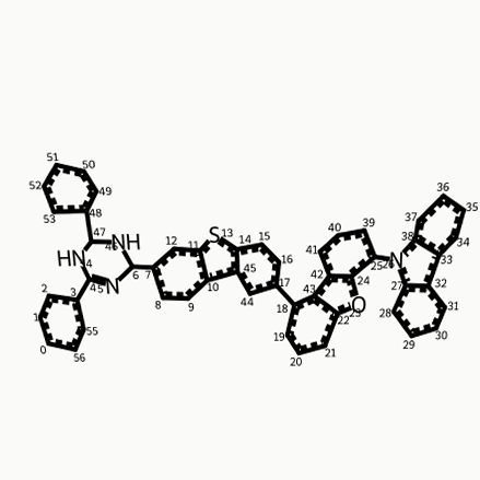 c1ccc(C2=NC(c3ccc4c(c3)sc3ccc(-c5cccc6oc7c(-n8c9ccccc9c9ccccc98)cccc7c56)cc34)NC(c3ccccc3)N2)cc1